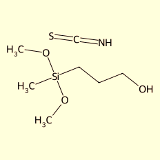 CO[Si](C)(CCCO)OC.N=C=S